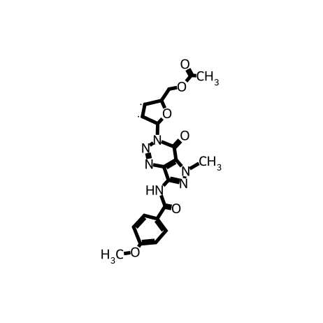 COc1ccc(C(=O)Nc2nn(C)c3c(=O)n(C4[CH][CH]C(COC(C)=O)O4)nnc23)cc1